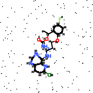 CC(OC(N)=O)c1cc(F)ccc1OCCCNc1ncnc2ccc(Cl)nc12